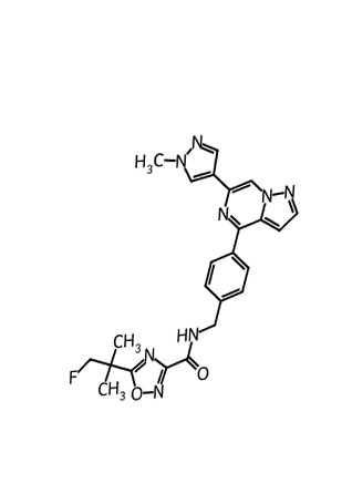 Cn1cc(-c2cn3nccc3c(-c3ccc(CNC(=O)c4noc(C(C)(C)CF)n4)cc3)n2)cn1